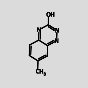 Cc1ccc2nc(O)nnc2c1